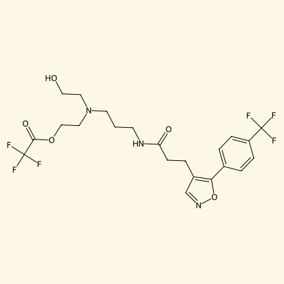 O=C(CCc1cnoc1-c1ccc(C(F)(F)F)cc1)NCCCN(CCO)CCOC(=O)C(F)(F)F